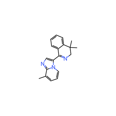 Cc1cccn2c(C3=NCC(C)(C)c4ccccc43)cnc12